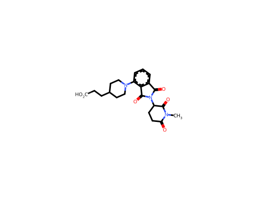 CN1C(=O)CCC(N2C(=O)c3cccc(N4CCC(CCC(=O)O)CC4)c3C2=O)C1=O